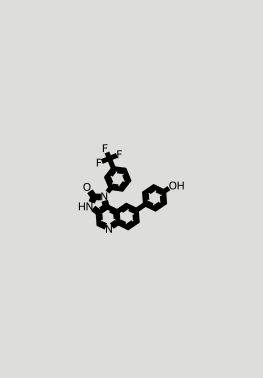 O=c1[nH]c2cnc3ccc(-c4ccc(O)cc4)cc3c2n1-c1cccc(C(F)(F)F)c1